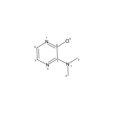 CN(C)c1nccnc1Cl